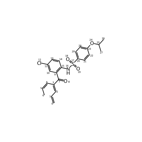 C=C/C=C(\C=C/C)C(=O)c1cc(Cl)ccc1NS(=O)(=O)c1ccc(OC(C)C)cc1